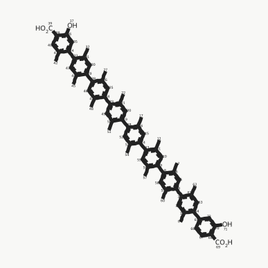 Cc1cc(-c2cc(C)c(-c3cc(C)c(-c4cc(C)c(-c5cc(C)c(-c6cc(C)c(-c7cc(C)c(-c8cc(O)c(C(=O)O)cc8C)cc7C)cc6C)cc5C)cc4C)cc3C)cc2C)c(C)cc1-c1ccc(C(=O)O)c(O)c1